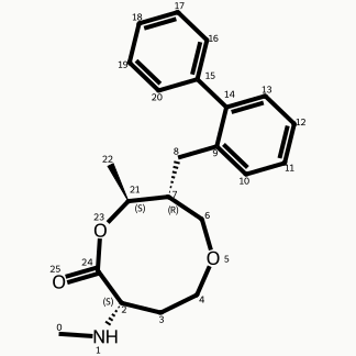 CN[C@H]1CCOC[C@@H](Cc2ccccc2-c2ccccc2)[C@H](C)OC1=O